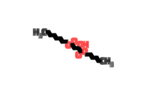 CCCCCCCCOC(=O)CC(O)C(=O)OCCCCCC